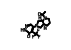 CC(=O)N1CCC[C@H]2CN(c3cn[nH]c(=O)c3C(F)(F)F)C[C@H]21